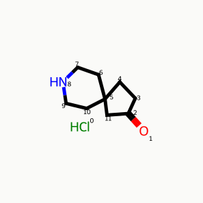 Cl.O=C1CCC2(CCNCC2)C1